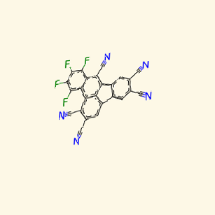 N#Cc1cc2c(cc1C#N)-c1c(C#N)c3c(F)c(F)c(F)c(F)c3c3c(C#N)c(C#N)cc-2c13